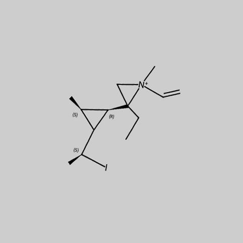 C=C[N+]1(C)CC1(CC)[C@H]1C([C@H](C)I)[C@H]1C